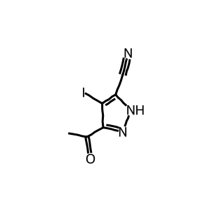 CC(=O)c1n[nH]c(C#N)c1I